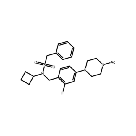 CC(=O)N1CCN(c2ccc(CN(C3CCC3)S(=O)(=O)Cc3ccccc3)c(F)c2)CC1